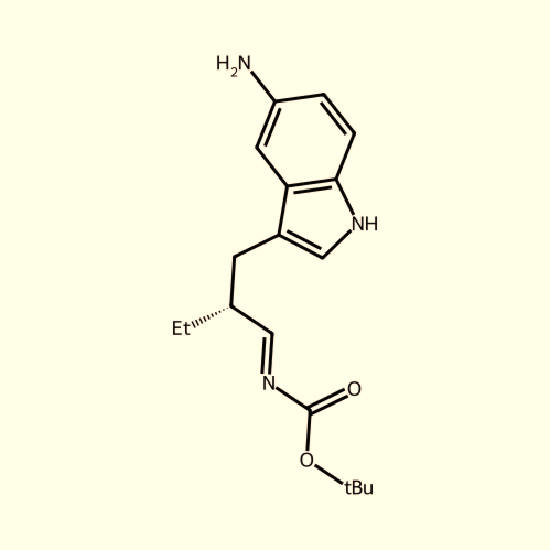 CC[C@@H](C=NC(=O)OC(C)(C)C)Cc1c[nH]c2ccc(N)cc12